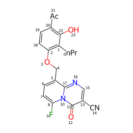 CCCc1c(OCc2ccc(F)n3c(=O)c(C#N)cnc23)ccc(C(C)=O)c1O